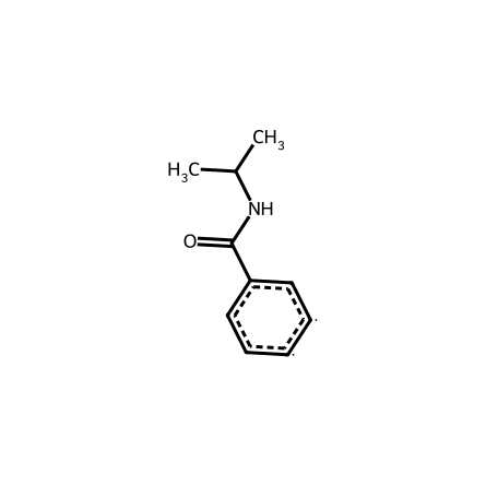 CC(C)NC(=O)c1c[c][c]cc1